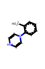 O=C(O)c1ccccc1N1C=CNC=C1